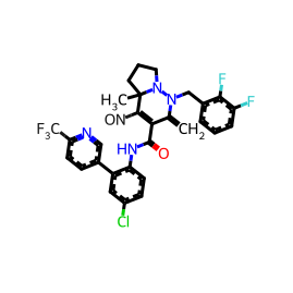 C=C1C(C(=O)Nc2ccc(Cl)cc2-c2ccc(C(F)(F)F)nc2)=C(N=O)C2(C)CCCN2N1Cc1cccc(F)c1F